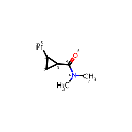 CC(C)C1CC1C(=O)N(C)C